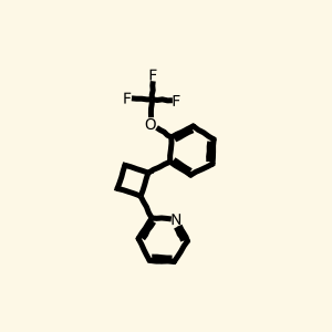 FC(F)(F)Oc1ccccc1[C]1CCC1c1ccccn1